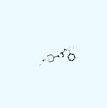 CN(C(=O)c1csc(C2CCN(C(=O)OC(C)(C)C)CC2)n1)c1ccccc1